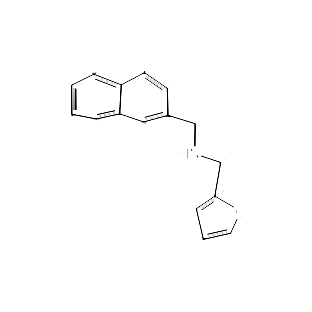 c1coc(CNCc2ccc3ccccc3c2)c1